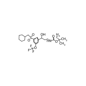 CC(C)(C)OC(=O)NCCC(O)c1cc(OC(F)(F)F)cc(S(=O)(=O)CC2CCCCC2)c1